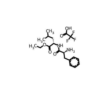 CCOC(=O)[C@H](CC(C)C)NC(=O)[C@@H](N)Cc1ccccc1.O=C(O)C(F)(F)F